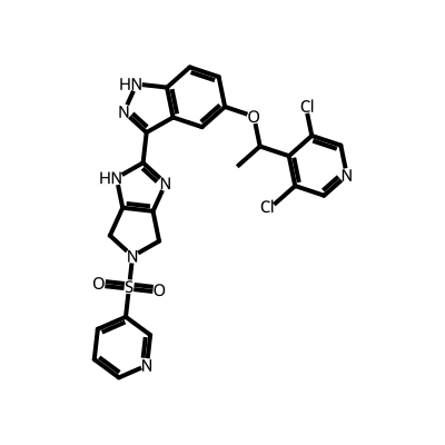 CC(Oc1ccc2[nH]nc(-c3nc4c([nH]3)CN(S(=O)(=O)c3cccnc3)C4)c2c1)c1c(Cl)cncc1Cl